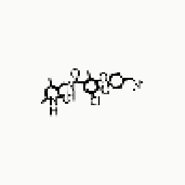 Cc1cc(C)c(CNC(=O)c2cc(Cl)c3c(c2C)OC2(CCC(CN(C)C)CC2)O3)c(=O)[nH]1